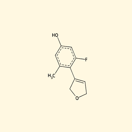 Cc1cc(O)cc(F)c1C1=CCOC1